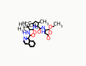 CCOC1OC(=O)CC1NC(=O)C1C(C)CC(C)N1C(=O)C(NC(=O)c1nccc2ccccc12)C(C)(C)C